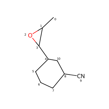 CC1OC1C1CCCC(C#N)C1